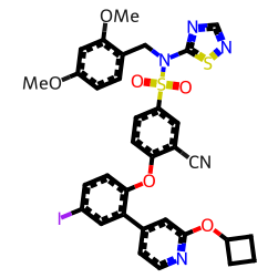 COc1ccc(CN(c2ncns2)S(=O)(=O)c2ccc(Oc3ccc(I)cc3-c3ccnc(OC4CCC4)c3)c(C#N)c2)c(OC)c1